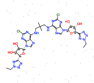 CCn1nnc([C@H]2O[C@@H](n3cnc4c(NCC(C)(C)CNc5nc(Cl)nc6c5ncn6[C@@H]5O[C@H](c6nnn(CC)n6)[C@@H](O)[C@H]5O)nc(Cl)nc43)[C@H](O)[C@@H]2O)n1